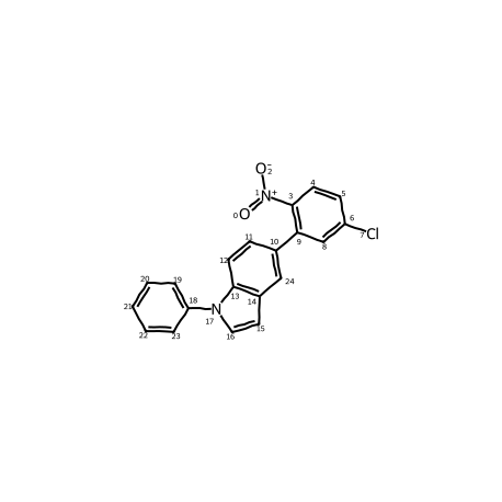 O=[N+]([O-])c1ccc(Cl)cc1-c1ccc2c(ccn2-c2ccccc2)c1